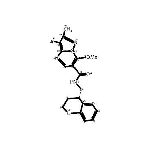 COc1c(C(=O)NC[C@H]2CCOc3ccccc32)cnc2c(Br)c(C)nn12